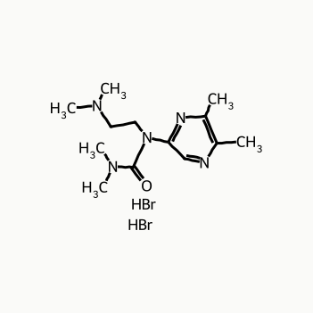 Br.Br.Cc1ncc(N(CCN(C)C)C(=O)N(C)C)nc1C